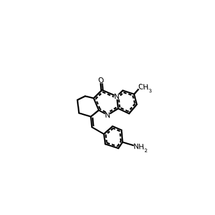 Cc1ccc2nc3c(c(=O)n2c1)CCC/C3=C/c1ccc(N)cc1